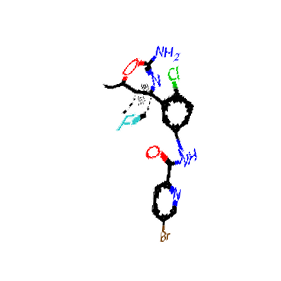 CC1OC(N)=N[C@@](CF)(c2cc(NC(=O)c3ccc(Br)cn3)ccc2Cl)[C@@H]1C